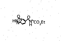 CCOC(=O)CNC(=O)c1ccc2n[nH]c(=O)n2c1